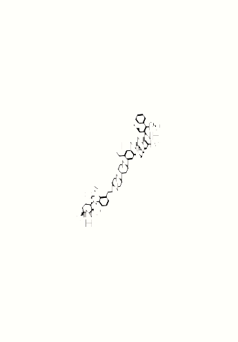 CCc1cc(Nc2ncc(Br)c(Nc3cnc4ccccc4c3P(C)(C)=O)n2)c(OC)cc1N1CCC(N2CCN(CCc3cccc4c3n(CC)c(=O)n4C3CCC(=O)NC3=O)CC2)CC1